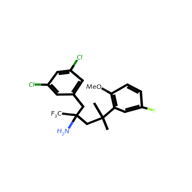 COc1ccc(F)cc1C(C)(C)CC(N)(Cc1cc(Cl)cc(Cl)c1)C(F)(F)F